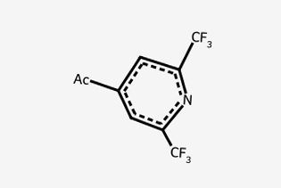 CC(=O)c1cc(C(F)(F)F)nc(C(F)(F)F)c1